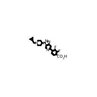 O=C(O)c1ccc(-c2cc3nnn(C4CCN(CC5CC5)CC4)c3cn2)c(F)c1F